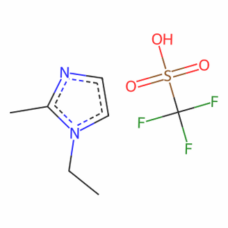 CCn1ccnc1C.O=S(=O)(O)C(F)(F)F